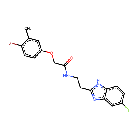 Cc1cc(OCC(=O)NCCc2nc3cc(F)ccc3[nH]2)ccc1Br